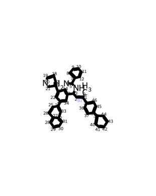 C/C(=C\C(NC(N)c1ccccc1)c1cc(-c2cccnc2)cc(-c2ccc3ccccc3c2)c1)c1ccc(-c2ccccc2)cc1